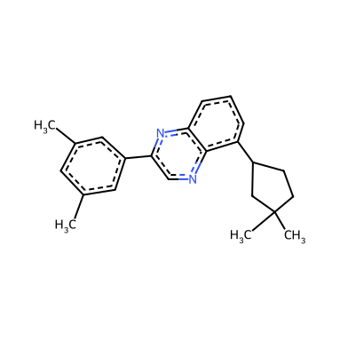 Cc1cc(C)cc(-c2cnc3c(C4CCC(C)(C)C4)cccc3n2)c1